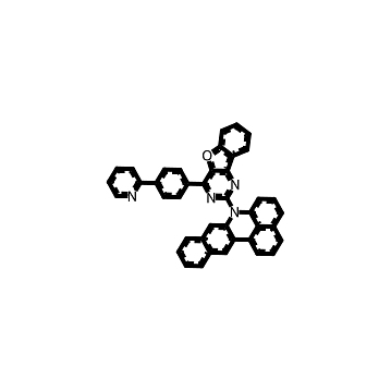 c1ccc(-c2ccc(-c3nc(N4c5cc6ccccc6cc5-c5cccc6cccc4c56)nc4c3oc3ccccc34)cc2)nc1